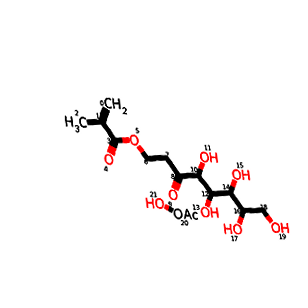 C=C(C)C(=O)OCCC(=O)C(O)C(O)C(O)C(O)CO.CC(=O)OO